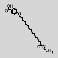 CCNC(=O)CCCCCCCCCCCCCCOc1ccc(C(=O)O)cc1